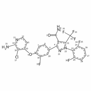 NC(=O)c1c(-c2ccc(Oc3ccnc(N)c3Cl)c(F)c2)nn(-c2c(F)cccc2F)c1C(F)(F)F